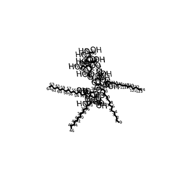 CCCCCCCCCCC[C@@H](O)CC(=O)N[C@H]1[C@H](OC[C@H]2O[C@H](OP(=O)(O)O)[C@H](NC(=O)C[C@H](O)CCCCCCCCCCC)[C@@H](OC(=O)C[C@H](O)CCCCCCCCCCC)[C@@H]2O)O[C@H](CO[C@]2(C(=O)O)C[C@@H](O[C@]3(C(=O)O)C[C@@H](O)[C@@H](O)[C@@H]([C@H](O)CO)O3)[C@@H](O)[C@@H]([C@H](O)CO)O2)[C@@H](OP(=O)(O)O)[C@@H]1OC(=O)C[C@H](O)CCCCCCCCCCC